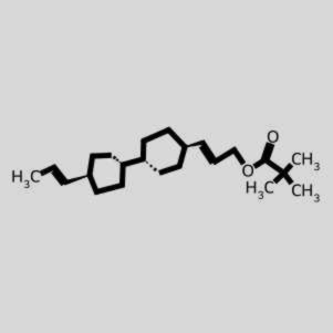 CC=C[C@H]1CC[C@H]([C@H]2CC[C@H](C=CCOC(=O)C(C)(C)C)CC2)CC1